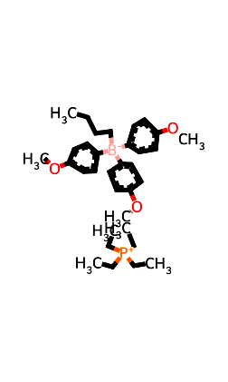 CCCC[B-](c1ccc(OC)cc1)(c1ccc(OC)cc1)c1ccc(OC)cc1.CC[P+](CC)(CC)CC